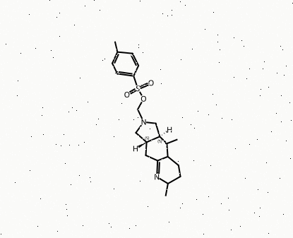 Cc1ccc(S(=O)(=O)OCN2C[C@H]3CC4=NC(C)CCC4C(C)[C@@H]3C2)cc1